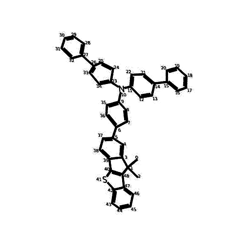 CC1(C)c2cc(-c3ccc(N(c4ccc(-c5ccccc5)cc4)c4ccc(-c5ccccc5)cc4)cc3)ccc2-c2sc3ccccc3c21